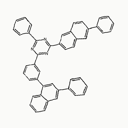 c1ccc(-c2ccc3cc(-c4nc(-c5ccccc5)nc(-c5cccc(-c6cc(-c7ccccc7)cc7ccccc67)c5)n4)ccc3c2)cc1